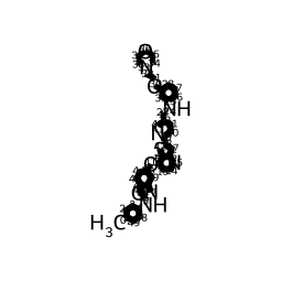 Cc1ccc(Nc2nc3cc(Oc4ccnc5cc(-c6ccc(CNc7cccc(OCCN8CCOCC8)c7)cn6)sc45)ccc3o2)cc1